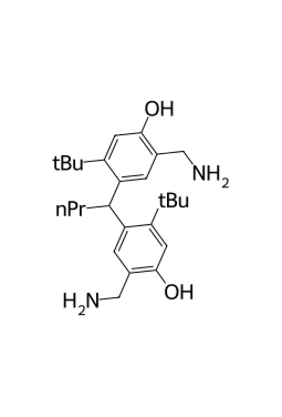 CCCC(c1cc(CN)c(O)cc1C(C)(C)C)c1cc(CN)c(O)cc1C(C)(C)C